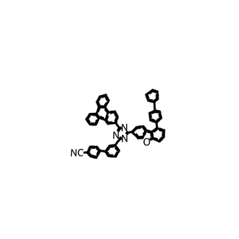 N#Cc1ccc(-c2cccc(-c3nc(-c4ccc5c(c4)oc4cccc(-c6ccc(-c7ccccc7)cc6)c45)nc(-c4ccc5c6ccccc6c6ccccc6c5c4)n3)c2)cc1